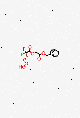 O=C(COC(=O)C(F)(F)SOOO)OCC1CC2CCC1C2